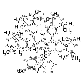 Cc1cc2c(cc1N1c3cc4c(cc3B3c5cc6c(cc5N(c5cc7c(cc5C)C(C)(C)CCC7(C)C)c5cc(N7c8ccc(C(C)(C)C)cc8C8(C)CCCCC78C)cc1c53)C(C)(C)CCC6(C)C)C(C)(C)CCC4(C)C)C(C)(C)CCC2(C)C